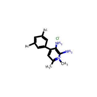 CC(=O)c1cc(C(C)=O)cc(-c2cc(C)[n+](C)c(N)c2N)c1.[Cl-]